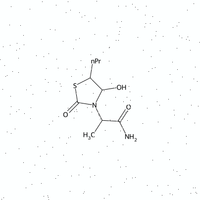 CCCC1SC(=O)N(C(C)C(N)=O)C1O